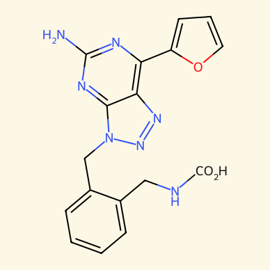 Nc1nc(-c2ccco2)c2nnn(Cc3ccccc3CNC(=O)O)c2n1